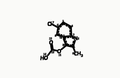 Cc1nc2ccc(Cl)cn2c1OC(=O)O